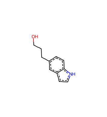 OCCCc1ccc2[nH]ccc2c1